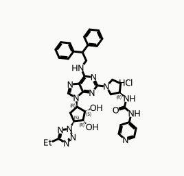 CCc1nnn([C@H]2C[C@@H](n3cnc4c(NCC(c5ccccc5)c5ccccc5)nc(N5CC[C@@H](NC(=O)Nc6ccncc6)C5)nc43)[C@H](O)[C@@H]2O)n1.Cl